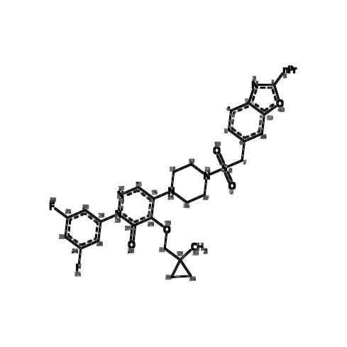 CCCc1nc2ccc(CS(=O)(=O)N3CCN(c4cnn(-c5cc(F)cc(F)c5)c(=O)c4OCC4(C)CC4)CC3)cc2o1